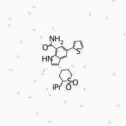 CC(C)[C@H]1C[C@H](c2c[nH]c3c(C(N)=O)cc(-c4cccs4)cc23)CCS1(=O)=O